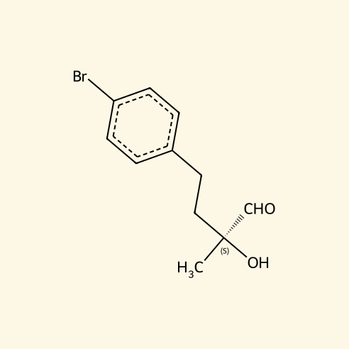 C[C@@](O)(C=O)CCc1ccc(Br)cc1